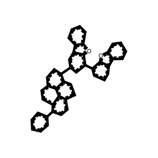 c1ccc(-c2ccc3ccc4c(-c5cc(-c6cccc7c6oc6ccccc67)c6oc7ccccc7c6c5)ccc5ccc2c3c54)cc1